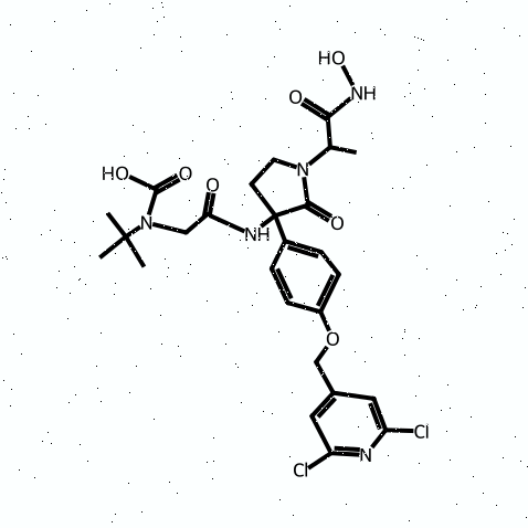 CC(C(=O)NO)N1CCC(NC(=O)CN(C(=O)O)C(C)(C)C)(c2ccc(OCc3cc(Cl)nc(Cl)c3)cc2)C1=O